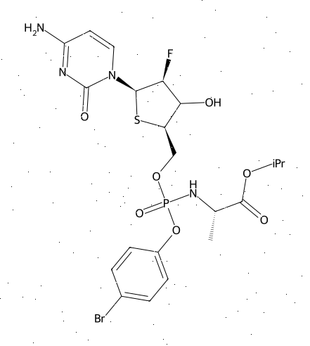 CC(C)OC(=O)[C@H](C)NP(=O)(OC[C@H]1S[C@@H](n2ccc(N)nc2=O)[C@@H](F)C1O)Oc1ccc(Br)cc1